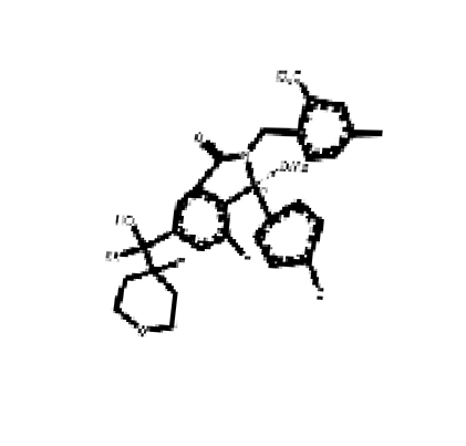 CCC(O)(c1cc(F)c2c(c1)C(=O)N(Cc1ccc(C)cc1C(=O)O)[C@@]2(OC)c1ccc(Cl)cc1)C1(F)CCOCC1